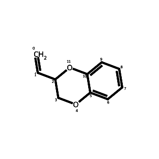 C=[C]C1COc2ccccc2O1